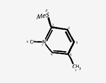 CSc1ccc(C)c[n+]1[O-]